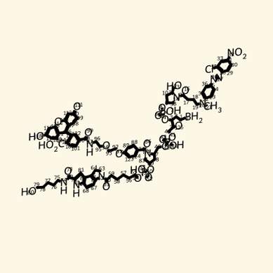 BC1CC(OP(=O)(O)OC2CC(CO)N(C(=O)CCCN(C)c3ccc(/N=N/c4ccc([N+](=O)[O-])cc4Cl)cc3)C2)C(COP(=O)(O)OCC2CC(OP(=O)(O)OCCCCCC(=O)N3CCc4c3ccc3[nH]c(C(=O)NCCCCCO)cc43)CN2C(=O)c2ccc(OCCOCCNC(=O)c3ccc(C(=O)O)c(-c4c5ccc(=O)cc-5oc5cc(O)ccc45)c3)cc2)O1